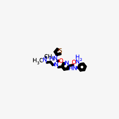 CN(C)CCCN(Cc1ccc(C(=O)Nc2ccccc2N)nc1)C(=O)Nc1ccsc1